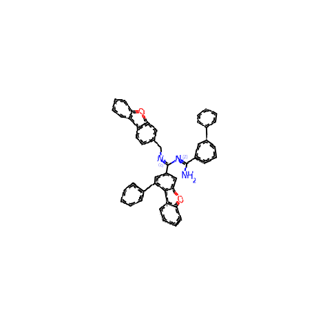 N/C(=N\C(=N/Cc1ccc2c(c1)oc1ccccc12)c1cc(-c2ccccc2)c2c(c1)oc1ccccc12)c1cccc(-c2ccccc2)c1